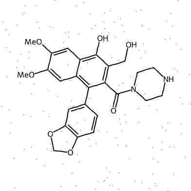 COc1cc2c(O)c(CO)c(C(=O)N3CCNCC3)c(-c3ccc4c(c3)OCO4)c2cc1OC